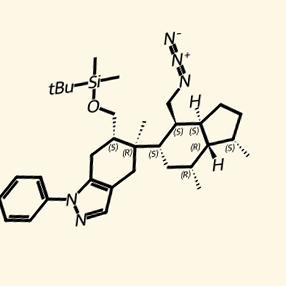 C[C@@H]1C[C@H]([C@@]2(C)Cc3cnn(-c4cc[c]cc4)c3C[C@@H]2CO[Si](C)(C)C(C)(C)C)[C@@H](CN=[N+]=[N-])[C@H]2CC[C@H](C)[C@@H]21